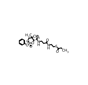 CCC(=O)SCCNC(=O)CCNC(=O)[C@@H]1OP(=O)(Oc2ccccc2)OCC1(C)C